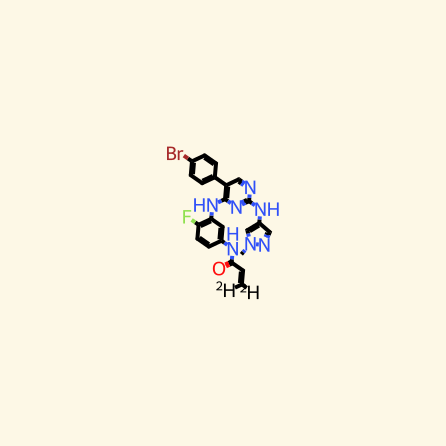 [2H]C([2H])=CC(=O)Nc1ccc(F)c(Nc2nc(Nc3cnn(C)c3)ncc2-c2ccc(Br)cc2)c1